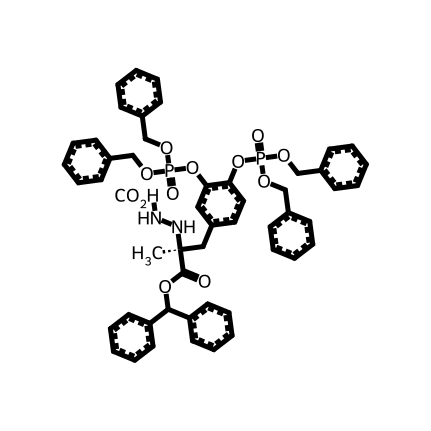 C[C@@](Cc1ccc(OP(=O)(OCc2ccccc2)OCc2ccccc2)c(OP(=O)(OCc2ccccc2)OCc2ccccc2)c1)(NNC(=O)O)C(=O)OC(c1ccccc1)c1ccccc1